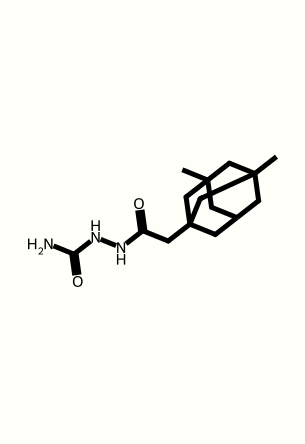 CC12CC3CC(C)(C1)CC(CC(=O)NNC(N)=O)(C3)C2